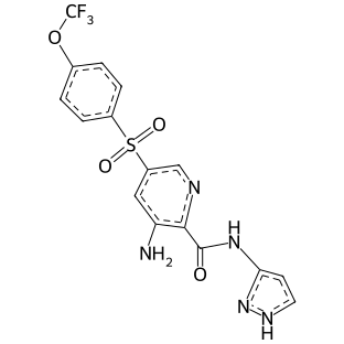 Nc1cc(S(=O)(=O)c2ccc(OC(F)(F)F)cc2)cnc1C(=O)Nc1cc[nH]n1